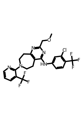 COCc1nc2c(c(Nc3ccc(C(F)(F)F)c(Cl)c3)n1)CCN(c1ncccc1C(F)(F)F)CC2